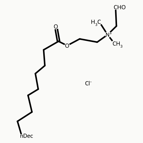 CCCCCCCCCCCCCCCCCC(=O)OCC[N+](C)(C)CC=O.[Cl-]